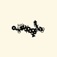 C[C@@H](O[Si](C)(C)C(C)(C)C)[C@@H](CN[C@]12CC[C@@H](C3(C)CC3)[C@@H]1[C@H]1CC[C@@H]3[C@]4(C)CC[C@H]([C@@]5(C(=O)O)C[C@@H](C(=O)OCc6ccccc6)C5(C)C)C(C)(C)[C@H]4CC[C@@]3(C)[C@]1(C)CC2)N1CCS(=O)(=O)CC1